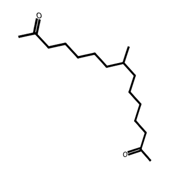 CC(=O)CCCCCC(C)CCCCCC(C)=O